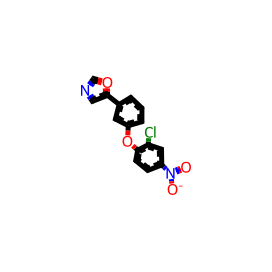 O=[N+]([O-])c1ccc(Oc2cccc(-c3cnco3)c2)c(Cl)c1